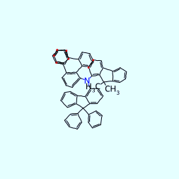 CC1(C)c2ccccc2-c2cccc(N(c3cccc(-c4ccccc4)c3-c3ccccc3-c3ccccc3)c3cccc4c3-c3ccccc3C4(c3ccccc3)c3ccccc3)c21